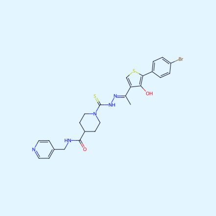 C/C(=N\NC(=S)N1CCC(C(=O)NCc2ccncc2)CC1)c1csc(-c2ccc(Br)cc2)c1O